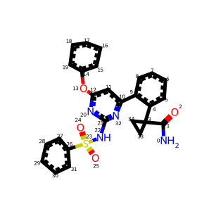 NC(=O)C1(c2ccccc2-c2cc(Oc3ccccc3)nc(NS(=O)(=O)c3ccccc3)n2)CC1